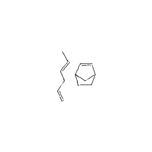 C1=CC2CCC1C2.C=CCC=CC